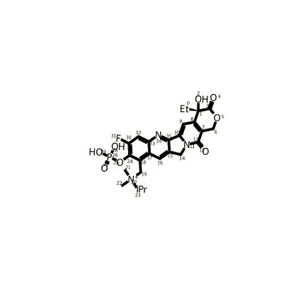 CC[C@@]1(O)C(=O)OCc2c1cc1n(c2=O)Cc2cc3c(C[N+](C)(C)C(C)C)c(OP(=O)(O)O)c(F)cc3nc2-1